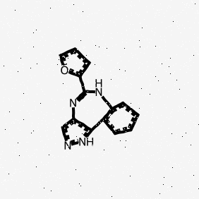 c1coc(C2=Nc3cn[nH]c3-c3ccccc3N2)c1